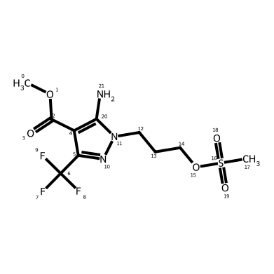 COC(=O)c1c(C(F)(F)F)nn(CCCOS(C)(=O)=O)c1N